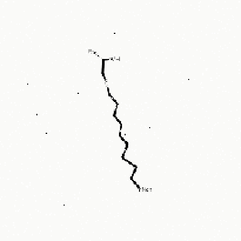 CCCCCCCCCCCCCCCCCCCC[C@@H](O)CC